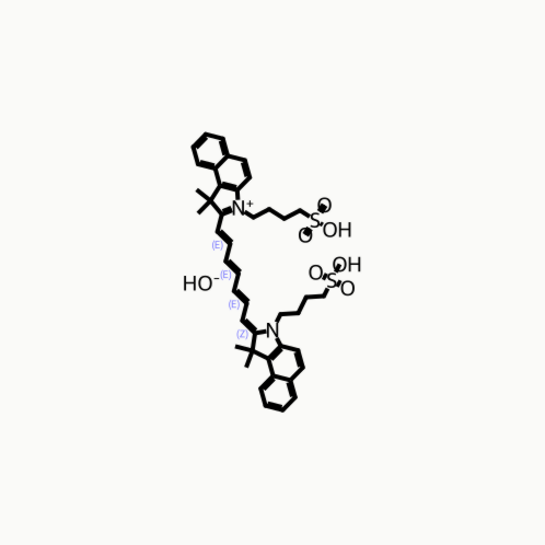 CC1(C)C(/C=C/C=C/C=C/C=C2\N(CCCCS(=O)(=O)O)c3ccc4ccccc4c3C2(C)C)=[N+](CCCCS(=O)(=O)O)c2ccc3ccccc3c21.[OH-]